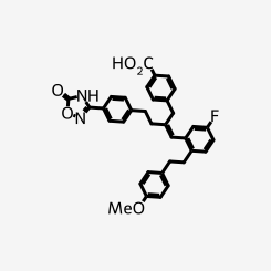 COc1ccc(CCc2ccc(F)cc2C=C(CCc2ccc(-c3noc(=O)[nH]3)cc2)Cc2ccc(C(=O)O)cc2)cc1